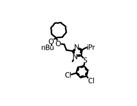 CCCCOC1(OCCc2nc(C(C)C)c(Sc3cc(Cl)cc(Cl)c3)n2C)CCCCCCC1